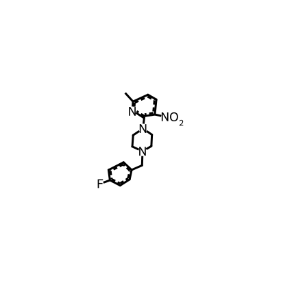 Cc1ccc([N+](=O)[O-])c(N2CCN(Cc3ccc(F)cc3)CC2)n1